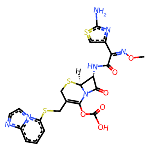 CO/N=C(\C(=O)N[C@@H]1C(=O)N2C(OC(=O)O)=C(CSc3cccc4nccn34)CS[C@@H]12)c1csc(N)n1